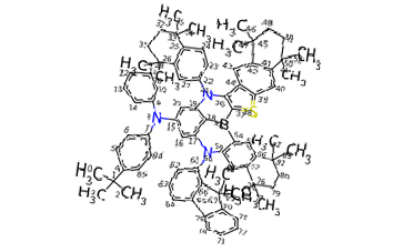 CC(C)(C)c1ccc(N(c2ccccc2)c2cc3c4c(c2)N(c2ccc5c(c2)C(C)(C)CCC5(C)C)c2c(sc5cc6c(cc25)C(C)(C)CCC6(C)C)B4c2cc4c(cc2N3c2cccc3c2C(C)(C)c2ccccc2-3)C(C)(C)CCC4(C)C)cc1